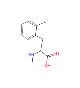 CNC(Cc1ccccc1C)C(=O)O